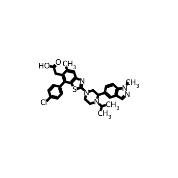 Cc1cc2nc(N3CCN(C(C)C)C(c4ccc5c(cnn5C)c4)C3)sc2c(-c2ccc(Cl)cc2)c1CC(=O)O